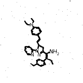 CCC(=C(N)C1=NN(c2ccccn2)C(C=Cc2ccc(N(CC)CC)cc2)C1)c1ccc(CC)cc1